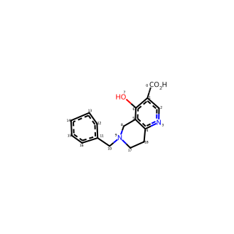 O=C(O)c1cnc2c(c1O)CN(Cc1ccccc1)CC2